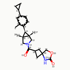 Cc1cc(C2CC2)ccc1[C@H]1[C@@H]2CN(C(=O)C3CC4(COC(=O)N4)C3)C[C@@H]21